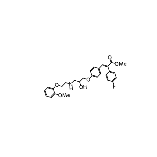 COC(=O)C(=Cc1ccc(OCC(O)CNCCOc2ccccc2OC)cc1)c1ccc(F)cc1